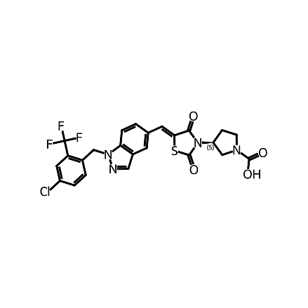 O=C(O)N1CC[C@H](N2C(=O)SC(=Cc3ccc4c(cnn4Cc4ccc(Cl)cc4C(F)(F)F)c3)C2=O)C1